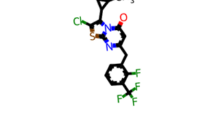 CC1CC1c1c(Cl)sc2nc(Cc3cccc(C(F)(F)F)c3F)cc(=O)n12